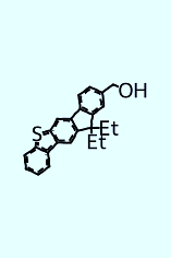 CCC1(CC)c2cc(CO)ccc2-c2cc3sc4ccccc4c3cc21